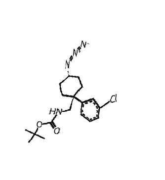 CC(C)(C)OC(=O)NC[C@]1(c2cccc(Cl)c2)CC[C@@H](N=[N+]=[N-])CC1